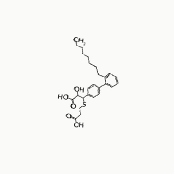 CCCCCCCCc1ccccc1-c1ccc(C(SCCC(=O)O)C(O)C(=O)O)cc1